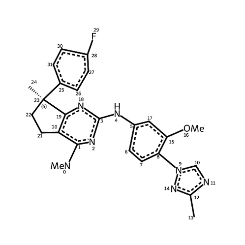 CNc1nc(Nc2ccc(-n3cnc(C)n3)c(OC)c2)nc2c1CC[C@@]2(C)c1ccc(F)cc1